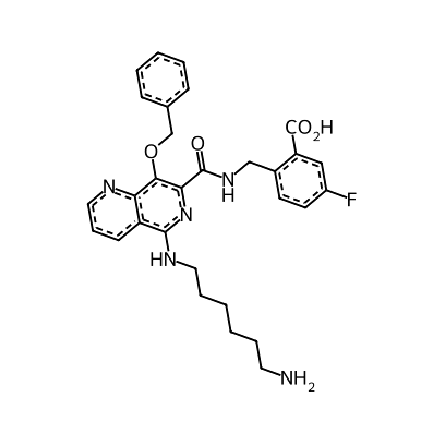 NCCCCCCNc1nc(C(=O)NCc2ccc(F)cc2C(=O)O)c(OCc2ccccc2)c2ncccc12